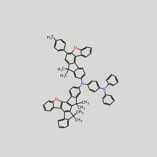 Cc1ccc(-c2cc3c(c4c2oc2ccccc24)-c2ccc(N(c4ccc(N(c5ccccc5)c5ccccc5)cc4)c4ccc5c(c4)C(C)(C)c4c6c(c7c(oc8ccccc87)c4-5)-c4ccccc4C6(C)C)cc2C3(C)C)cc1